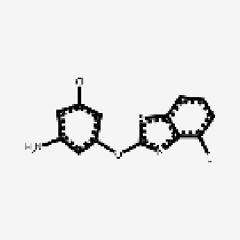 Nc1cc(Cl)cc(Oc2nc3c(Cl)cccc3s2)c1